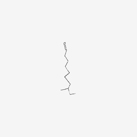 CCC(C)CCCCCCC=O